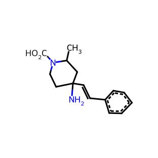 CC1CC(N)(C=Cc2ccccc2)CCN1C(=O)O